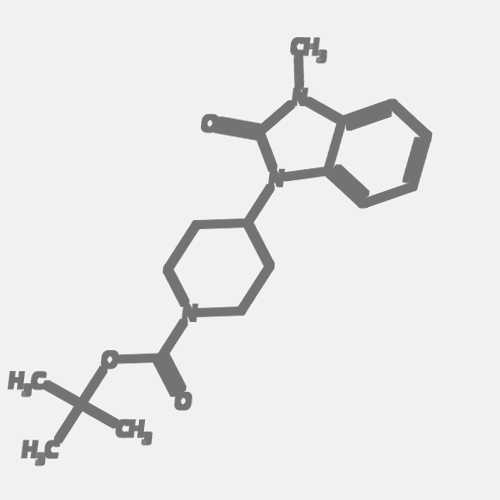 Cn1c(=O)n(C2CCN(C(=O)OC(C)(C)C)CC2)c2ccccc21